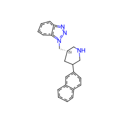 c1ccc2cc(C3CNC[C@@H](Cn4nnc5ccccc54)C3)ccc2c1